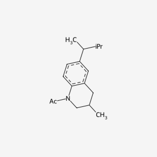 CC(=O)N1CC(C)Cc2cc(C(C)C(C)C)ccc21